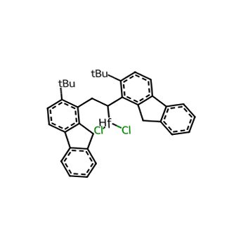 CC(C)(C)c1ccc2c(c1C[CH](c1c(C(C)(C)C)ccc3c1Cc1ccccc1-3)[Hf]([Cl])[Cl])Cc1ccccc1-2